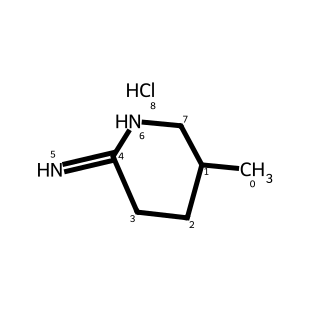 CC1CCC(=N)NC1.Cl